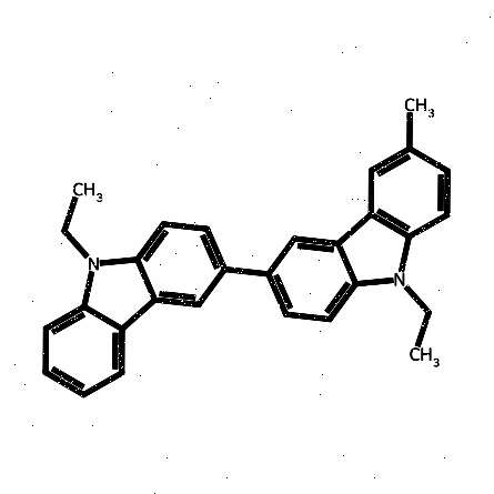 CCn1c2ccccc2c2cc(-c3ccc4c(c3)c3cc(C)ccc3n4CC)ccc21